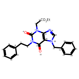 CCOC(=O)Cn1c(=O)n(CCc2ccccc2)c(=O)c2c1ncn2Cc1ccccc1